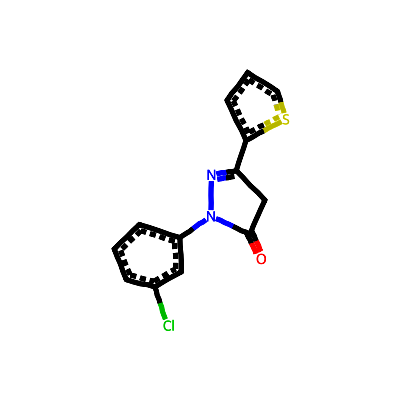 O=C1CC(c2cccs2)=NN1c1cccc(Cl)c1